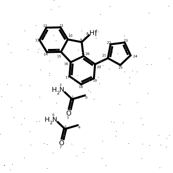 CC(N)=O.CC(N)=O.[Hf][CH]1c2ccccc2-c2cccc(C3=CC=CC3)c21